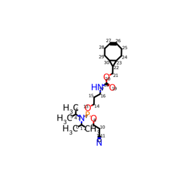 CC(C)N(C(C)C)P(OCCC#N)OCCCNC(=O)OCC1C2CCC#CCCC21